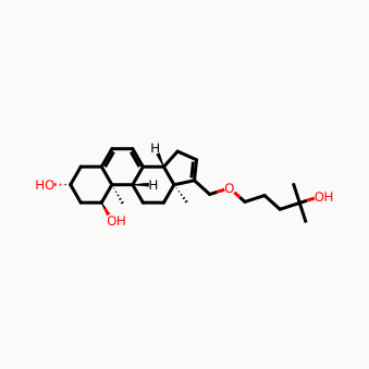 CC(C)(O)CCCOCC1=CC[C@H]2C3=CC=C4C[C@@H](O)C[C@H](O)[C@]4(C)[C@H]3CC[C@]12C